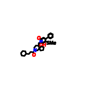 CSc1cn(CC2(O)CCN(C(=O)CCC3CCCCC3)CC23CCCC3)c(=O)cc1-c1ccccc1